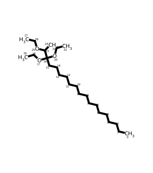 CCCCCCCCCCCCCCCCC(OCC)(OCC)C(C)OCC